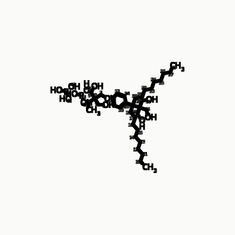 CCC(CO)(CO)CO.CCCCCCCCCCC(CCCCCCCCC)(c1ccccc1)C(CO)(CO)CO.OP(O)O.OP(O)O